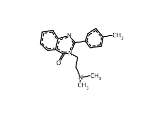 Cc1ccc(-c2nc3ccccc3c(=O)n2CCN(C)C)cc1